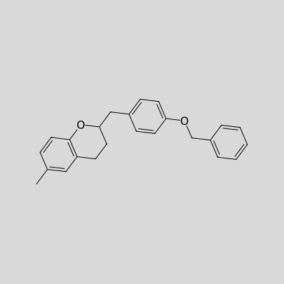 Cc1ccc2c(c1)CCC(Cc1ccc(OCc3ccccc3)cc1)O2